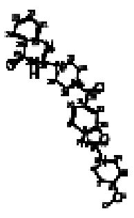 COC1CCN(c2nc3ccc(C(=O)N4CCN(c5nc6ccccc6c(=O)[nH]5)CC4)cc3o2)CC1